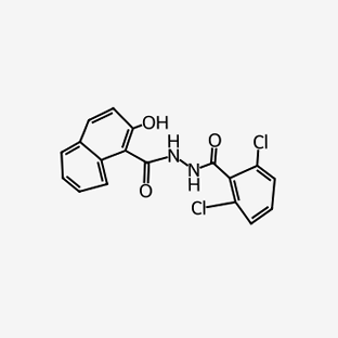 O=C(NNC(=O)c1c(O)ccc2ccccc12)c1c(Cl)cccc1Cl